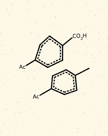 CC(=O)c1ccc(C(=O)O)cc1.CC(=O)c1ccc(C)cc1